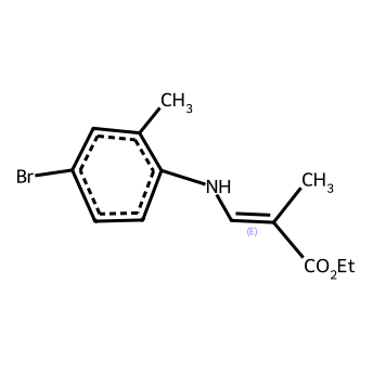 CCOC(=O)/C(C)=C/Nc1ccc(Br)cc1C